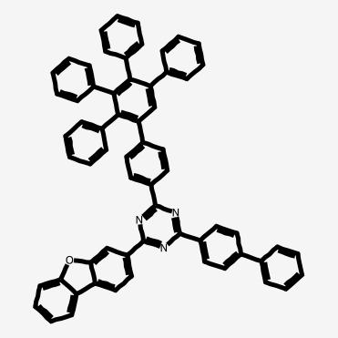 c1ccc(-c2ccc(-c3nc(-c4ccc(-c5cc(-c6ccccc6)c(-c6ccccc6)c(-c6ccccc6)c5-c5ccccc5)cc4)nc(-c4ccc5c(c4)oc4ccccc45)n3)cc2)cc1